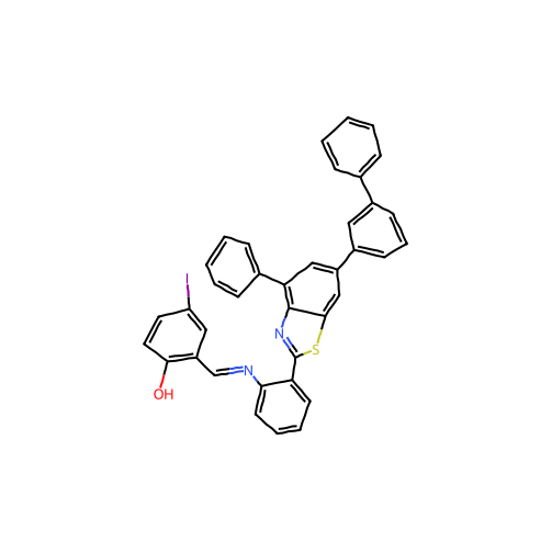 Oc1ccc(I)cc1/C=N/c1ccccc1-c1nc2c(-c3ccccc3)cc(-c3cccc(-c4ccccc4)c3)cc2s1